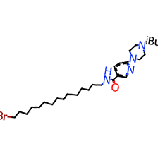 CCC(C)N1CCN(c2ccc(C(=O)NCCCCCCCCCCCCCCCBr)cn2)CC1